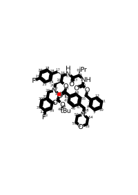 CC(C)[C@H](NC(=O)OCc1ccccc1)C(=O)N[C@@H](Cc1ccc(F)cc1)[C@H](CN(Cc1ccc(F)cc1)NC(=O)OC(C)(C)C)OC(=O)c1ccc(CN2CCOCC2)cc1